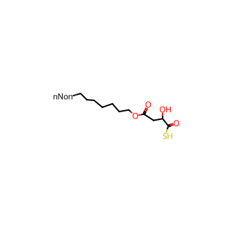 CCCCCCCCCCCCCCCCOC(=O)CC(O)C(=O)S